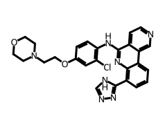 Clc1cc(OCCN2CCOCC2)ccc1Nc1nc2c(-c3nnc[nH]3)cccc2c2cnccc12